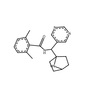 Cc1cccc(C)c1C(=O)NC(c1cncnc1)C12CCC(CC1)N2